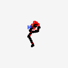 CCC(C)CCCCCCCCCC(C)CCCCC1C2C/C(=C/CNS(=O)(=O)c3ccc4c(c3)C(=O)OC4=O)C(C2)C1CCCCCC(C)CCCC(C)C